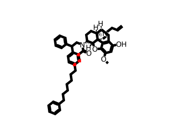 C=CCN1CC[C@]23c4c5c(O)cc(OC)c4O[C@H]2[C@H](N(CC(c2ccccc2)c2ccccc2)C(=O)CCCCCCCCCCc2ccccc2)CC[C@H]3[C@H]1C5